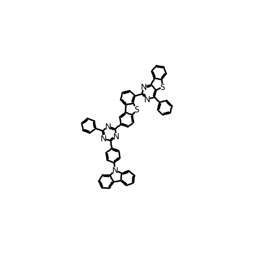 c1ccc(-c2nc(-c3ccc(-n4c5ccccc5c5ccccc54)cc3)nc(-c3ccc4sc5c(-c6nc(-c7ccccc7)c7sc8ccccc8c7n6)cccc5c4c3)n2)cc1